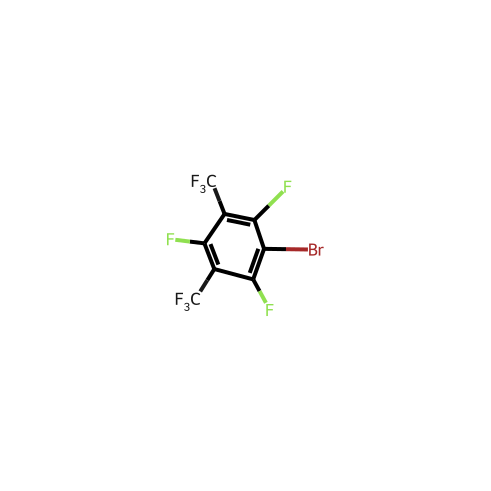 Fc1c(Br)c(F)c(C(F)(F)F)c(F)c1C(F)(F)F